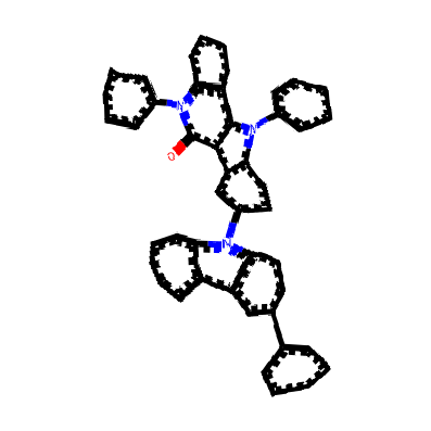 O=c1c2c3cc(-n4c5ccccc5c5cc(-c6ccccc6)ccc54)ccc3n(-c3ccccc3)c2c2ccccc2n1-c1ccccc1